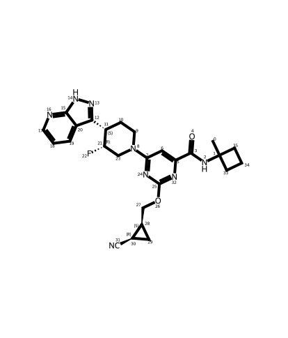 CC1(NC(=O)c2cc(N3CC[C@@H](c4n[nH]c5ncccc45)[C@@H](F)C3)nc(OC[C@H]3C[C@H]3C#N)n2)CCC1